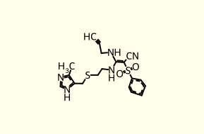 C#CCN/C(NCCSCc1[nH]cnc1C)=C(\C#N)S(=O)(=O)c1ccccc1